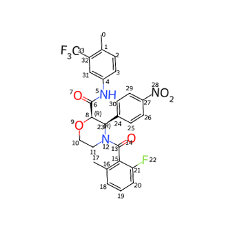 Cc1ccc(NC(=O)[C@@H]2OCCN(C(=O)c3c(C)cccc3F)[C@@H]2c2ccc([N+](=O)[O-])cc2)cc1C(F)(F)F